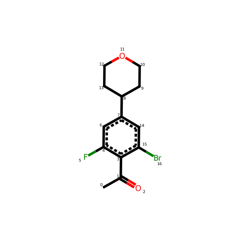 CC(=O)c1c(F)cc(C2CCOCC2)cc1Br